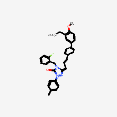 CCOc1ccc(-c2ccc(CCCc3nn(-c4ccc(C)cc4)c(=O)n3Cc3ccccc3F)cc2)cc1CC(=O)O